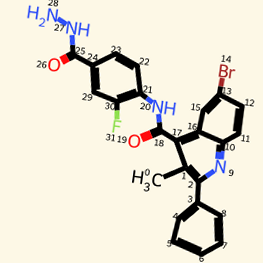 Cc1c(-c2ccccc2)nc2ccc(Br)cc2c1C(=O)Nc1ccc(C(=O)NN)cc1F